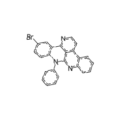 Brc1ccc2c(c1)-c1nccc3c1c(nc1ccccc13)N2c1ccccc1